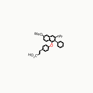 CCCc1cc2cc(OC)ccc2c(Oc2ccc(C=CC(=O)O)cc2)c1-c1ccccc1